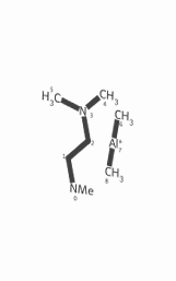 C[N-]CCN(C)C.[CH3][Al+][CH3]